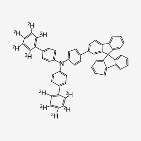 [2H]c1c([2H])c([2H])c(-c2ccc(N(c3ccc(-c4ccc5c(c4)C4(c6ccccc6-c6ccccc64)c4ccccc4-5)cc3)c3ccc(-c4c([2H])c([2H])c([2H])c([2H])c4[2H])cc3)cc2)c([2H])c1[2H]